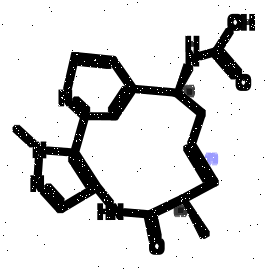 C[C@@H]1/C=C/C[C@H](NC(=O)O)c2ccnc(c2)-c2c(cnn2C)NC1=O